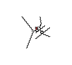 CCCCCCC#CC(=C=[N+]=[N-])C(CCCC)=C(c1cc(C)c(C)c(C)c1)c1cc(CCCCCC)c(CCCCCC)c(CCCCCC)c1.CCCCCCCCCCCCC[CH2][Ni][CH2]CCCCCCCCCCCCC